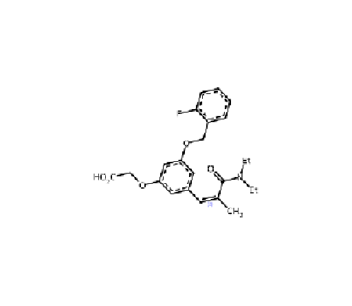 CCN(CC)C(=O)/C(C)=C\c1cc(OCC(=O)O)cc(OCc2ccccc2F)c1